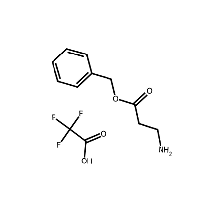 NCCC(=O)OCc1ccccc1.O=C(O)C(F)(F)F